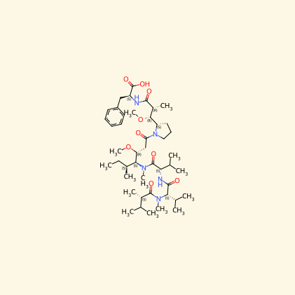 CC[C@H](C)[C@@H]([C@@H](CC(=O)N1CCC[C@H]1[C@H](OC)[C@@H](C)C(=O)N[C@@H](Cc1ccccc1)C(=O)O)OC)N(C)C(=O)[C@@H](NC(=O)[C@H](C(C)C)N(C)C(=O)[C@@H](C)C(C)C)C(C)C